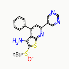 CCCC[S@+]([O-])c1sc2nc(-c3cncnc3)cc(-c3ccccc3)c2c1N